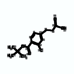 CC(C)(C)OC(=O)c1ccc(CCC(=O)O)cc1Cl